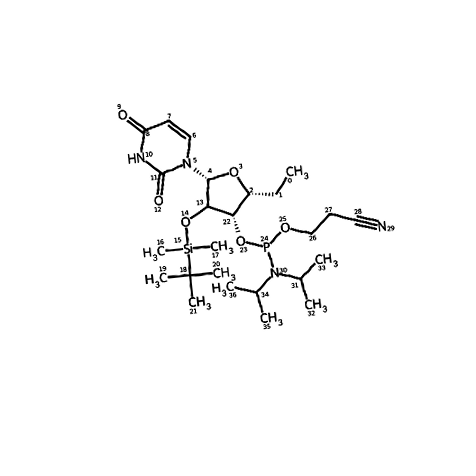 CC[C@H]1O[C@@H](n2ccc(=O)[nH]c2=O)C(O[Si](C)(C)C(C)(C)C)[C@H]1OP(OCCC#N)N(C(C)C)C(C)C